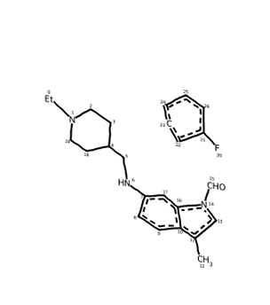 CCN1CCC(CNc2ccc3c(C)cn(C=O)c3c2)CC1.Fc1ccccc1